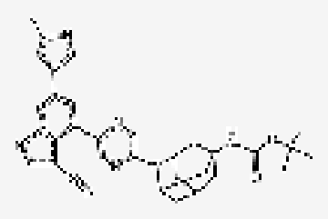 Cn1cc(-c2cc(-c3cnc(N4C5CC6CC4CC(NC(=O)OC(C)(C)C)(C6)C5)cn3)c3c(C#N)cnn3c2)cn1